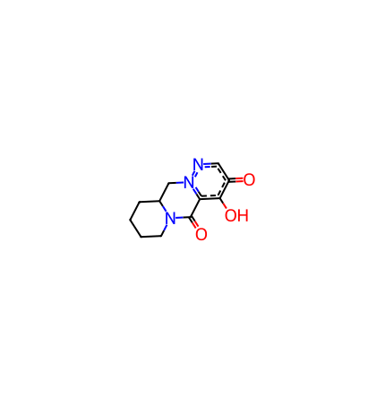 O=C1c2c(O)c(=O)cnn2CC2CCCCN12